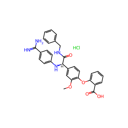 COc1cc([C@@H](Nc2ccc(C(=N)N)cc2)C(=O)NCc2ccccc2)ccc1Oc1ccccc1C(=O)O.Cl